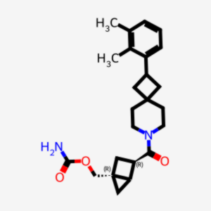 Cc1cccc(C2CC3(CCN(C(=O)[C@@H]4C[C@]5(COC(N)=O)CC45)CC3)C2)c1C